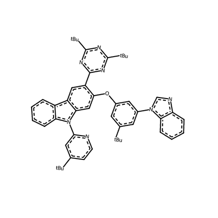 CC(C)(C)c1cc(Oc2cc3c(cc2-c2nc(C(C)(C)C)nc(C(C)(C)C)n2)c2ccccc2n3-c2cc(C(C)(C)C)ccn2)cc(-n2cnc3ccccc32)c1